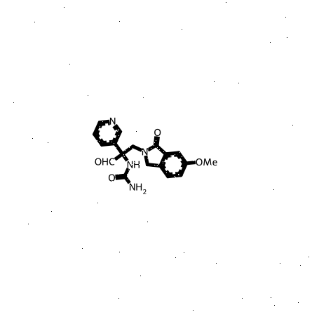 COc1ccc2c(c1)C(=O)N(CC(C=O)(NC(N)=O)c1cccnc1)C2